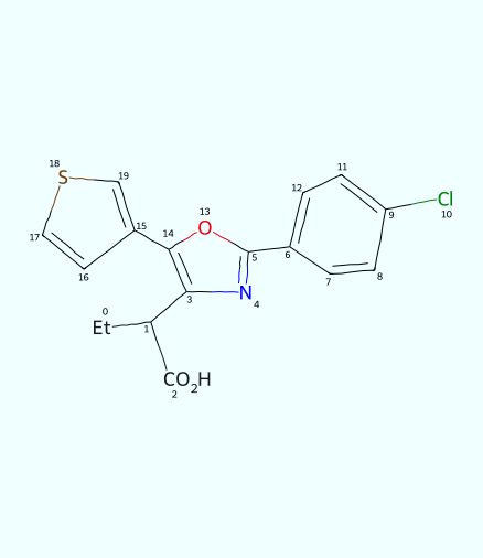 CCC(C(=O)O)c1nc(-c2ccc(Cl)cc2)oc1-c1ccsc1